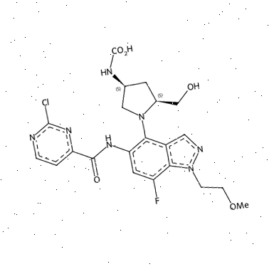 COCCn1ncc2c(N3C[C@@H](NC(=O)O)C[C@H]3CO)c(NC(=O)c3ccnc(Cl)n3)cc(F)c21